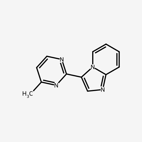 Cc1ccnc(-c2cnc3ccccn23)n1